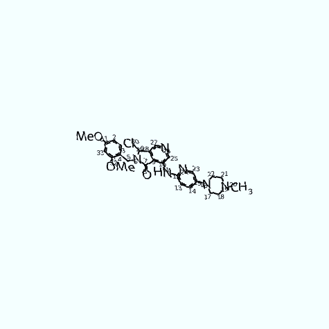 COc1ccc(CN2C(=O)c3c(Nc4ccc(N5CCN(C)CC5)cn4)cncc3C2Cl)c(OC)c1